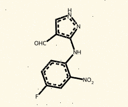 O=Cc1c[nH]nc1Nc1ccc(F)cc1[N+](=O)[O-]